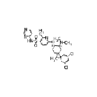 Cc1nc(O[C@H]2CC[C@H](C3(C)C=C(Cl)C=C(Cl)C3)C[C@@H]2N(C)C)ccc1S(=O)(=O)Nc1ccncn1